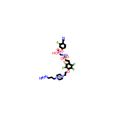 N#Cc1ccc(OP(=O)(O)CNS(=O)(=O)c2cc3c(F)c(F)c(OCC[N+]45CC[N+](CCCN=[N+]=[N-])(CC4)CC5)c(F)c3s2)cc1F